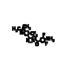 Cc1nc2cc(-c3nccn4c(C(=O)c5cc(F)c(N)c(F)c5)ccc34)c(C(F)(F)F)cc2n1C